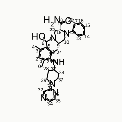 Cc1cc(C)c(C(O)N2CCN(c3ccccc3)[C@H](C(N)=O)C2)c(C)c1NC1CCN(c2cnccn2)CC1